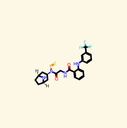 O=C(NCC(=O)N(P=S)[C@H]1C[C@H]2CC[C@@H](C1)N2)c1ccccc1Nc1cccc(C(F)(F)F)c1